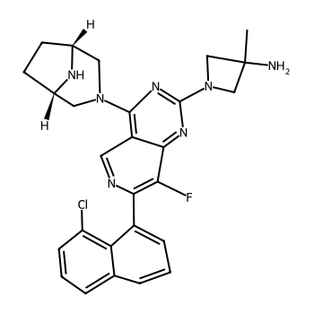 CC1(N)CN(c2nc(N3C[C@H]4CC[C@@H](C3)N4)c3cnc(-c4cccc5cccc(Cl)c45)c(F)c3n2)C1